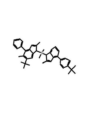 CC1=Cc2c(-c3ccc(C(C)(C)C)cc3)cccc2C1[Si](C)(C)C1C(C)=Cc2c1cc(C(C)(C)C)c(C)c2-c1ccccc1